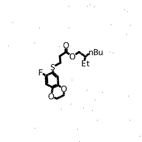 CCCCC(CC)COC(=O)CCSc1cc2c(cc1F)OCCO2